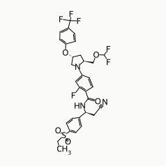 CCS(=O)(=O)c1ccc([C@H](CC#N)NC(=O)c2ccc(N3C[C@H](Oc4ccc(C(F)(F)F)cc4)C[C@H]3COC(F)F)cc2F)cc1